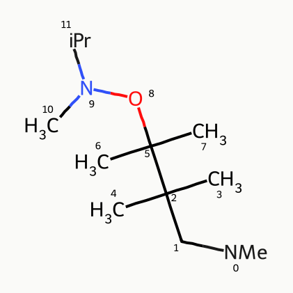 CNCC(C)(C)C(C)(C)ON(C)C(C)C